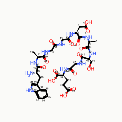 C[C@H](NC(=O)[C@H](CC(=O)O)NC(=O)CNC(=O)CNC(=O)[C@H](C)NC(=O)[C@@H](N)Cc1c[nH]c2ccccc12)C(=O)N[C@@H](CO)C(=O)NCC(=O)N[C@@H](CCC(=O)O)C(=O)O